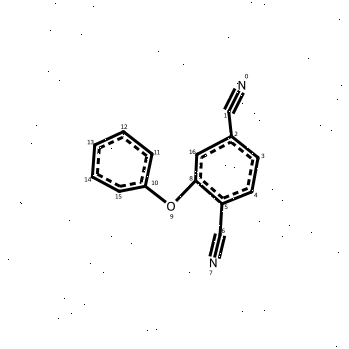 N#Cc1ccc(C#N)c(Oc2c[c]ccc2)c1